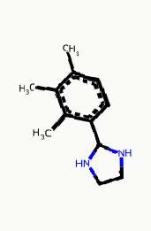 Cc1ccc(C2NCCN2)c(C)c1C